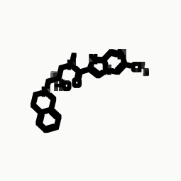 CN(C[C@H](O)CN1CCc2ccccc2C1)C(=O)c1cn2cc(C(F)(F)F)ncc2n1